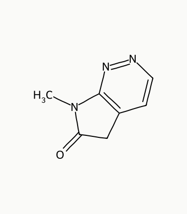 CN1C(=O)Cc2ccnnc21